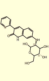 O=c1[nH]c2cc(N[C@@H]3C(O)OC(CO)[C@@H](O)C3O)ccc2cc1-c1ccccn1